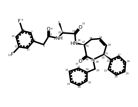 C[C@H](NC(=O)Cc1cc(F)cc(F)c1)C(=O)N[C@H]1CC=C[C@@H](c2ccccc2)N(Cc2ccccc2)C1=O